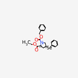 CCOC(=O)[C@@H]1C[C@H]([Se]c2ccccc2)CN1C(=O)OCc1ccccc1